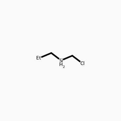 CCC[SiH2]CCl